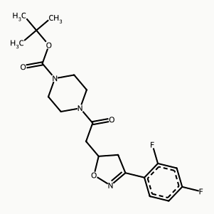 CC(C)(C)OC(=O)N1CCN(C(=O)CC2CC(c3ccc(F)cc3F)=NO2)CC1